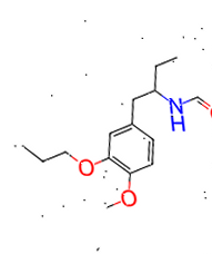 CCCOc1cc(CC(CC)NC=O)ccc1OC